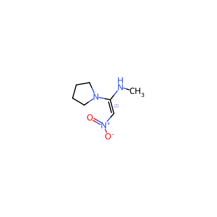 CN/C(=C/[N+](=O)[O-])N1CCCC1